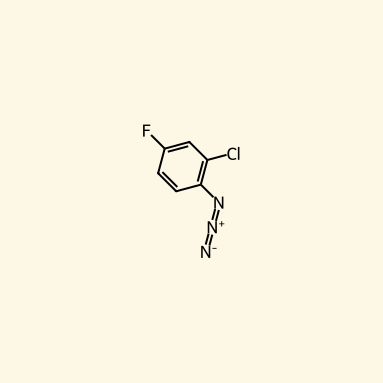 [N-]=[N+]=Nc1ccc(F)cc1Cl